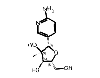 C[C@@]1(O)[C@H](O)[C@@H](CO)O[C@H]1c1ccc(N)nc1